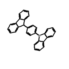 c1ccc2c(c1)-c1ccccc1C2c1ccc(-n2c3ccccc3c3ccccc32)cc1